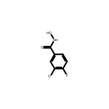 O=C(NO)c1ccc(F)c(Cl)c1